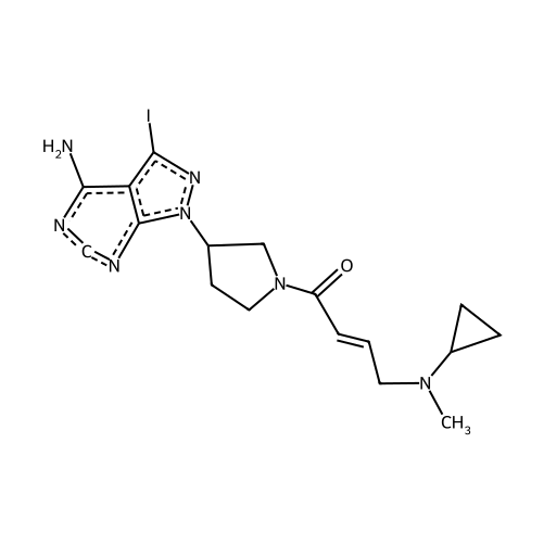 CN(C/C=C/C(=O)N1CCC(n2nc(I)c3c(N)ncnc32)C1)C1CC1